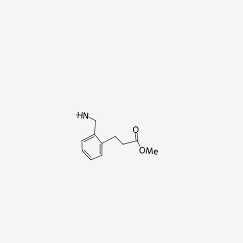 COC(=O)CCc1ccccc1C[NH]